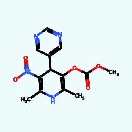 COC(=O)OC1=C(C)NC(C)=C([N+](=O)[O-])C1c1cncnc1